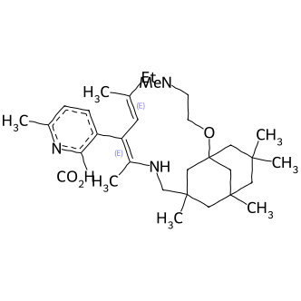 CC/C(C)=C/C(=C(/C)NCC1(C)CC2(C)CC(C)(C)CC(OCCNC)(C1)C2)c1ccc(C)nc1C(=O)O